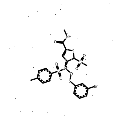 CNC(=O)C1=CC(=[N+](OSc2cccc(Br)c2)S(=O)(=O)c2ccc(C)cc2)C(S(C)(=O)=O)S1